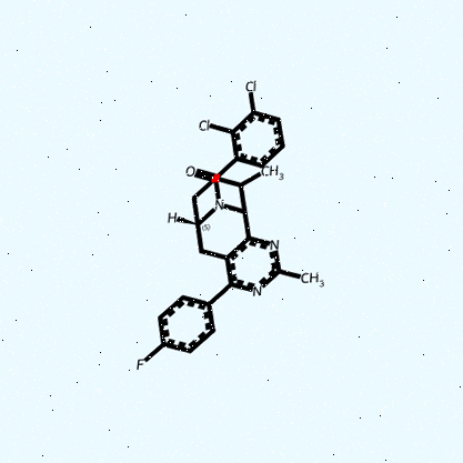 Cc1nc(-c2ccc(F)cc2)c2c(n1)C1C(C)CC[C@@H](C2)N1C(=O)c1cccc(Cl)c1Cl